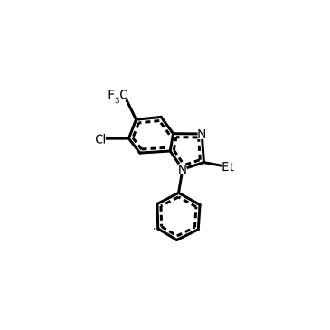 CCc1nc2cc(C(F)(F)F)c(Cl)cc2n1-c1c[c]ccc1